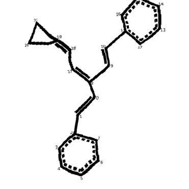 C(=Cc1ccccc1)C(C=Cc1ccccc1)=CC=C1CC1